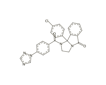 O=C(c1ccc(-n2cncn2)cc1)N1CCN2C(=O)c3ccccc3C12c1ccc(Cl)cc1